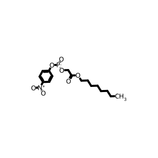 CCCCCCCCOC(=O)CO[P](=O)Oc1ccc([N+](=O)[O-])cc1